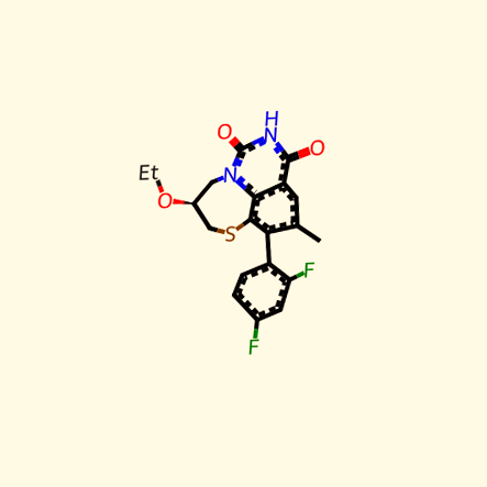 CCO[C@@H]1CSc2c(-c3ccc(F)cc3F)c(C)cc3c(=O)[nH]c(=O)n(c23)C1